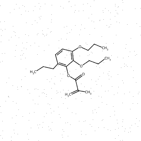 C=C(C)C(=O)Oc1c(CCC)ccc(OCCC)c1OCCC